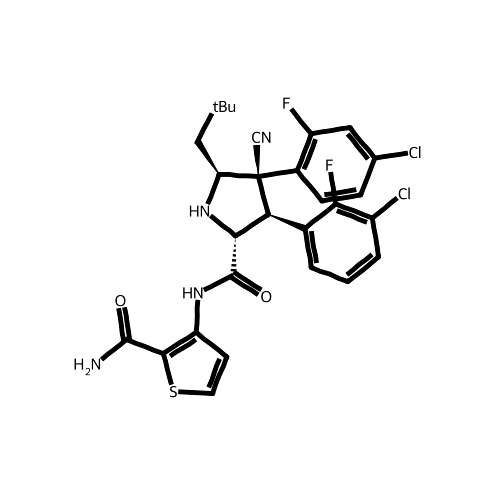 CC(C)(C)C[C@@H]1N[C@@H](C(=O)Nc2ccsc2C(N)=O)[C@H](c2cccc(Cl)c2F)[C@@]1(C#N)c1ccc(Cl)cc1F